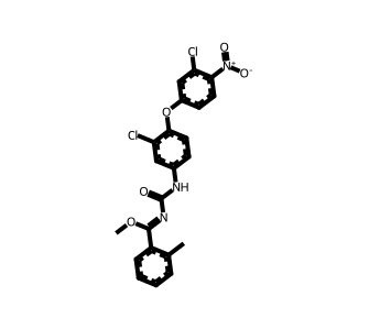 COC(=NC(=O)Nc1ccc(Oc2ccc([N+](=O)[O-])c(Cl)c2)c(Cl)c1)c1ccccc1C